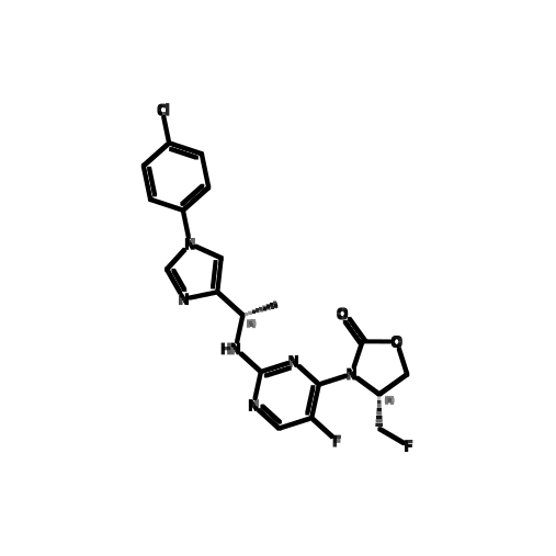 C[C@H](Nc1ncc(F)c(N2C(=O)OC[C@@H]2CF)n1)c1cn(-c2ccc(Cl)cc2)cn1